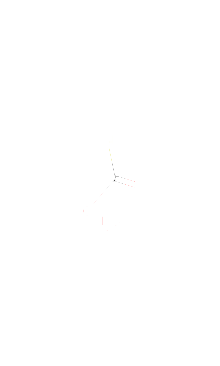 O.O=C(O)S